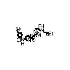 CCOCCNc1nc(NNC(=O)c2ccc(Nc3ccc(CN(C)C)cc3Cl)cn2)ncc1F